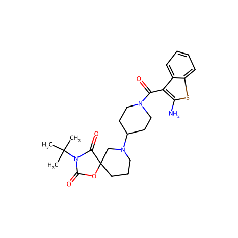 CC(C)(C)N1C(=O)OC2(CCCN(C3CCN(C(=O)c4c(N)sc5ccccc45)CC3)C2)C1=O